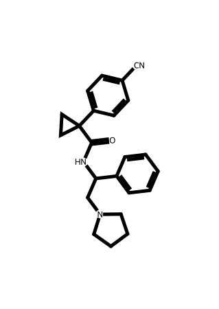 N#Cc1ccc(C2(C(=O)NC(CN3CCCC3)c3ccccc3)CC2)cc1